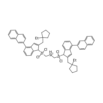 CCC1(CC2=Cc3c(-c4ccc5ccccc5c4)cccc3[CH]2[Zr]([Cl])([Cl])[CH2][SiH2][CH2][Zr]([Cl])([Cl])[CH]2C(CC3(CC)CCCC3)=Cc3c(-c4ccc5ccccc5c4)cccc32)CCCC1